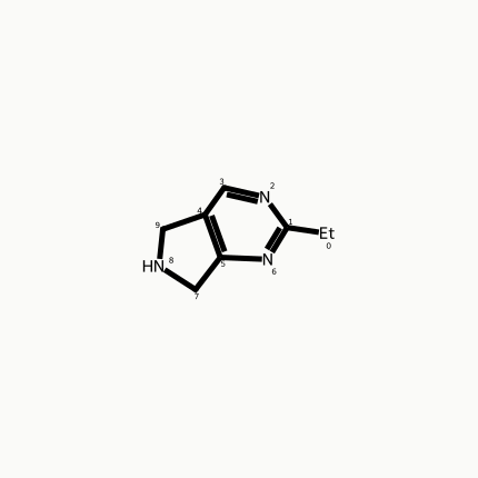 CCc1ncc2c(n1)CNC2